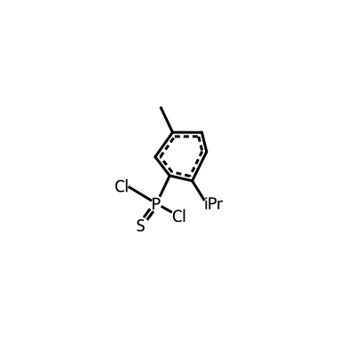 Cc1ccc(C(C)C)c(P(=S)(Cl)Cl)c1